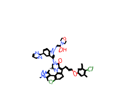 Cc1cc(OCCCc2c3n(c4c(-c5c(C)nn(C)c5C)c(Cl)ccc24)[C@H](C)CN(c2cn(CC(O)N4CCOCC4)c4ccc(-c5ncccn5)cc24)C3=O)cc(C)c1Cl